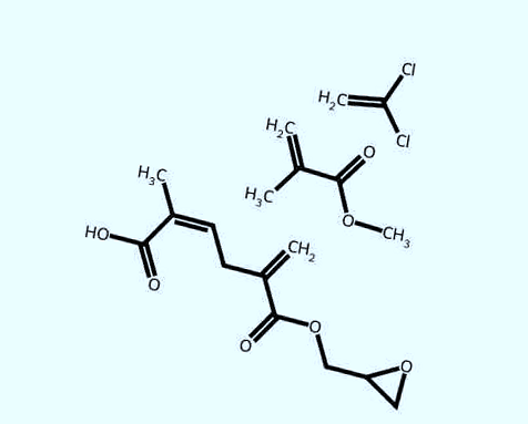 C=C(C)C(=O)OC.C=C(CC=C(C)C(=O)O)C(=O)OCC1CO1.C=C(Cl)Cl